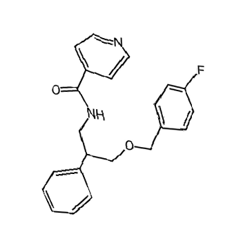 O=C(NCC(COCc1ccc(F)cc1)c1ccccc1)c1ccncc1